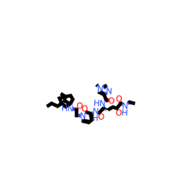 CCCC1CC2(C)CCC(NC(=O)Cn3cccc(NC(=O)[C@H](CCC(=O)C(=O)NCC)NC(=O)c4cn(C)cn4)c3=O)(C1)C2